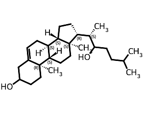 CC(C)CCC(O)[C@@H](C)[C@H]1CC[C@H]2[C@@H]3CC=C4CC(O)CC[C@]4(C)[C@H]3CC[C@]12C